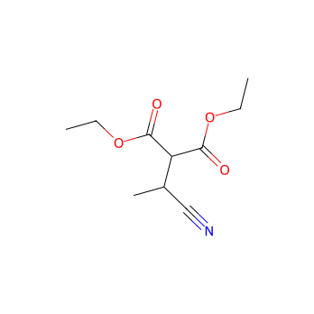 CCOC(=O)C(C(=O)OCC)C(C)C#N